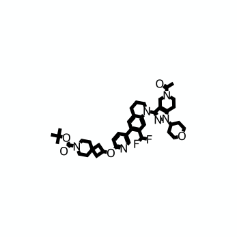 CC(=O)N1CCc2c(c(N3CCCc4cc(-c5ccc(OC6CC7(CCN(C(=O)OC(C)(C)C)CC7)C6)nc5)c(C(F)F)cc43)nn2C2CCOCC2)C1